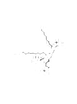 CCCCCCCCCC[C@H](CN(CCCCC1OC(C)(C)OC1=O)C[C@@H](CCCCCCCCCC)O[Si](C)(C)C(C)(C)C)O[Si](C)(C)C(C)(C)C